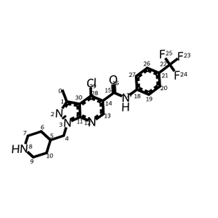 Cc1nn(CC2CCNCC2)c2ncc(C(=O)Nc3ccc(C(F)(F)F)cc3)c(Cl)c12